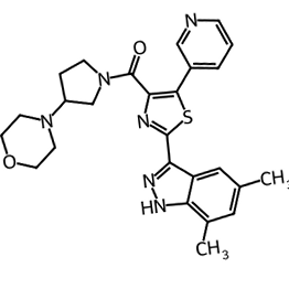 Cc1cc(C)c2[nH]nc(-c3nc(C(=O)N4CCC(N5CCOCC5)C4)c(-c4cccnc4)s3)c2c1